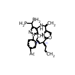 BC(P)c1nn(-c2ccc(C(C)=O)cc2)cc1NC(=C)c1coc(C(/C=C\C)=C/C=C)n1